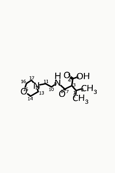 CC(C)C(C(=O)O)C(=O)NCCN1CCOCC1